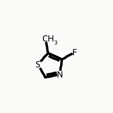 Cc1scnc1F